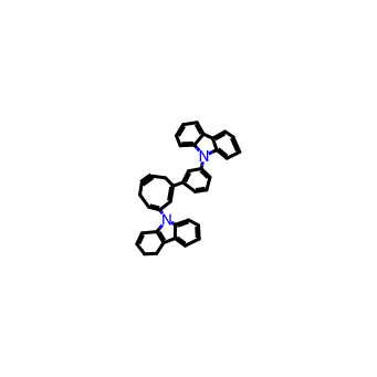 C1#CC/C(c2cccc(-n3c4ccccc4c4ccccc43)c2)=C\C(n2c3c(c4ccccc42)CCC=C3)=C/C1